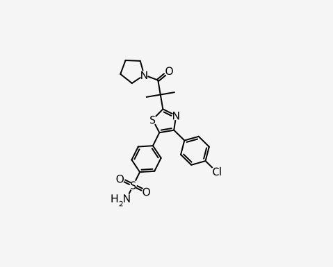 CC(C)(C(=O)N1CCCC1)c1nc(-c2ccc(Cl)cc2)c(-c2ccc(S(N)(=O)=O)cc2)s1